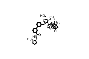 CC[C@@H]1[C@H](CO)ON(Cc2cccc(-c3cccc(C(=O)NC[C@@H]4CCCN4C)c3)c2)[C@@H]1C(=O)N[C@H]1C[C@H]2C[C@@H]([C@@H]1C)C2(C)C